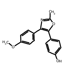 COc1ccc(-c2nc(C)oc2-c2ccc(O)cc2)cc1